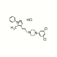 Cc1c(/C=C/CN2CCN(c3cc(Cl)cc(Cl)c3)CC2)cnn1-c1ccccc1.Cl